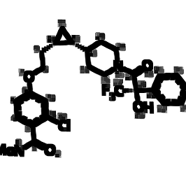 CNC(=O)c1ccc(OCC[C@@H]2C[C@@H]2C2CCN(C(=O)[C@](O)(c3ccccc3)C(F)(F)F)CC2)cc1Cl